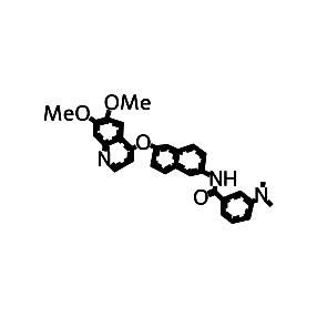 COc1cc2nccc(Oc3ccc4cc(NC(=O)c5cccc(N(C)C)c5)ccc4c3)c2cc1OC